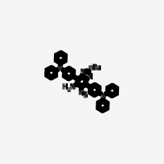 CCCCn1nc2c(-c3ccc(N(c4ccccc4)c4ccccc4)cc3)c(N)c(N=S)c(-c3ccc(N(c4ccccc4)c4ccccc4)cc3)c2n1